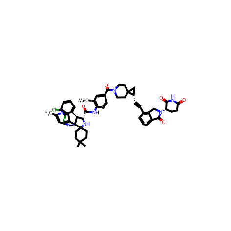 COc1cc(C(=O)N2CCC3(CC2)C[C@@H]3C#Cc2cccc3c2CN([C@H]2CCC(=O)NC2=O)C3=O)ccc1NC(=O)[C@@H]1NC2(CCC(C)(C)CC2)[C@@]2(CNc3cc(C(F)(F)F)ncc32)[C@H]1c1cccc(Cl)c1F